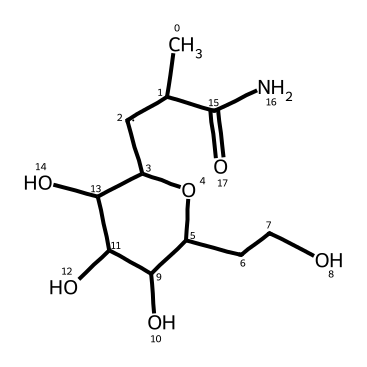 CC([CH]C1OC(CCO)C(O)C(O)C1O)C(N)=O